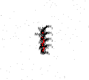 COc1ccc(NC(=O)[C@H](CCCCN)NC(=O)c2cc(NC(=O)[C@H](CCCCN)NC(=O)c3cc(NC(=O)[C@H](CCCCN)NC(=O)c4cc(NC(=O)[C@@H](N)CCCCN)ccc4OC)ccc3OC)ccc2OCC(=O)O)cc1C(N)=O